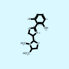 CN1C(C(=O)O)CSC1C1CSC(c2c(O)cccc2F)=N1